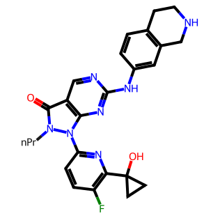 CCCn1c(=O)c2cnc(Nc3ccc4c(c3)CNCC4)nc2n1-c1ccc(F)c(C2(O)CC2)n1